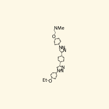 CCOc1ccc(-n2cc(-c3ccc(-c4cn(-c5ccc(OCCNC)cc5)nn4)cc3)nn2)cc1